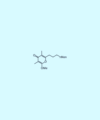 CCCCCCCCCCCCc1oc(OC)c(C)c(=O)c1C